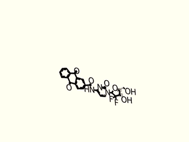 O=C(Nc1ccn(C2O[C@H](CO)[C@@H](O)C2(F)F)c(=O)n1)c1ccc2c(c1)C(=O)c1ccccc1C2=O